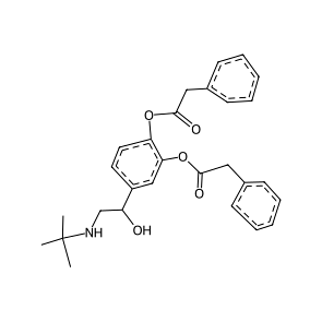 CC(C)(C)NCC(O)c1ccc(OC(=O)Cc2ccccc2)c(OC(=O)Cc2ccccc2)c1